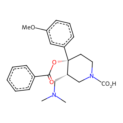 COc1cccc([C@@]2(OC(=O)c3ccccc3)CCN(C(=O)O)C[C@@H]2CN(C)C)c1